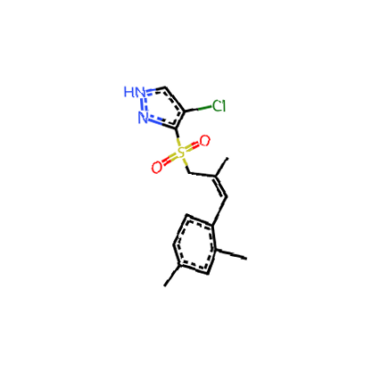 CC(=Cc1ccc(C)cc1C)CS(=O)(=O)c1n[nH]cc1Cl